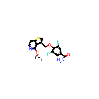 COc1nccc2scc(COc3c(F)cc(C(N)=O)cc3F)c12